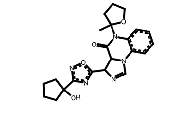 CC1(N2C(=O)C3C(c4nc(C5(O)CCCC5)no4)N=CN3c3ccccc32)CCCO1